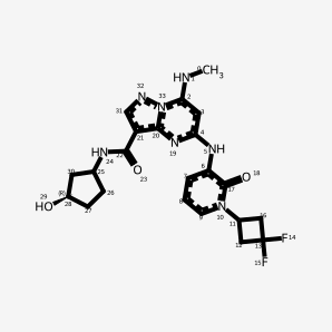 CNc1cc(Nc2cccn(C3CC(F)(F)C3)c2=O)nc2c(C(=O)NC3CC[C@@H](O)C3)cnn12